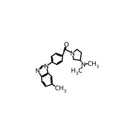 Cc1ccc2ncn(-c3ccc(C(=O)N4CCC(N(C)C)C4)cc3)c2c1